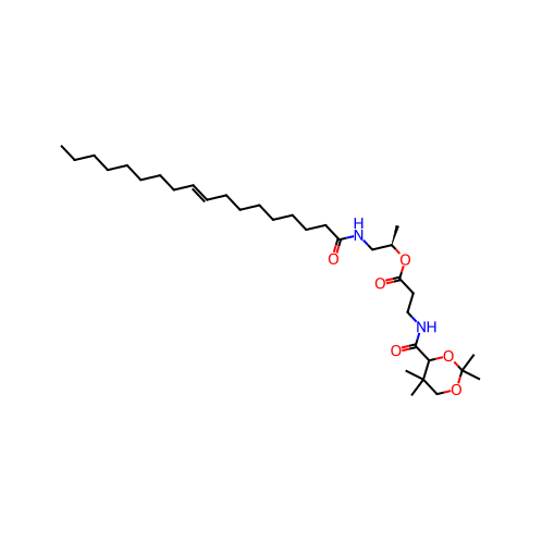 CCCCCCCCC=CCCCCCCCC(=O)NC[C@@H](C)OC(=O)CCNC(=O)C1OC(C)(C)OCC1(C)C